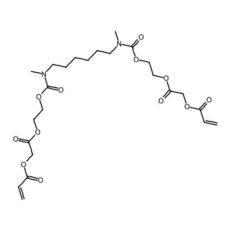 C=CC(=O)OCC(=O)OCCOC(=O)N(C)CCCCCCN(C)C(=O)OCCOC(=O)COC(=O)C=C